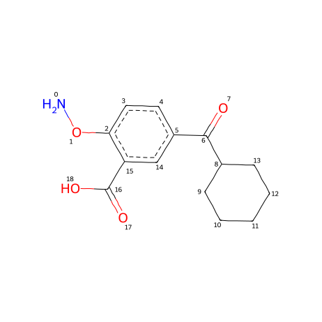 NOc1ccc(C(=O)C2CCCCC2)cc1C(=O)O